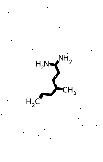 C=CCC(C)CCC(N)N